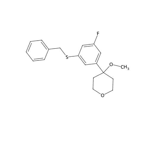 COC1(c2cc(F)cc(SCc3ccccc3)c2)CCOCC1